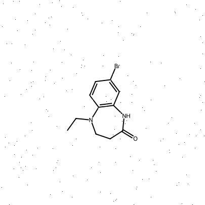 CCN1CCC(=O)Nc2cc(Br)ccc21